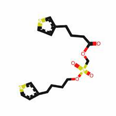 O=C(CCCc1ccsc1)OCS(=O)(=O)OCCCCc1ccsc1